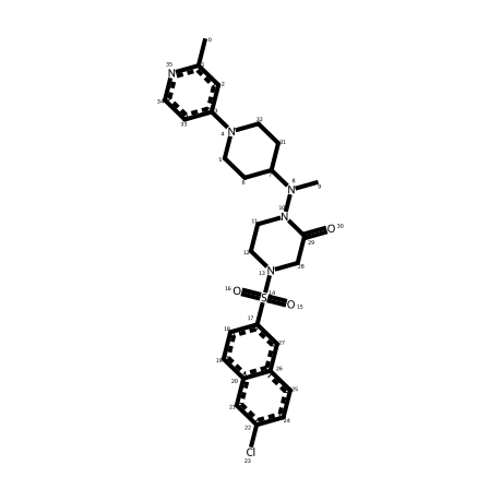 Cc1cc(N2CCC(N(C)N3CCN(S(=O)(=O)c4ccc5cc(Cl)ccc5c4)CC3=O)CC2)ccn1